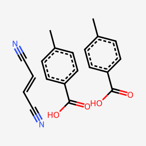 Cc1ccc(C(=O)O)cc1.Cc1ccc(C(=O)O)cc1.N#CC=CC#N